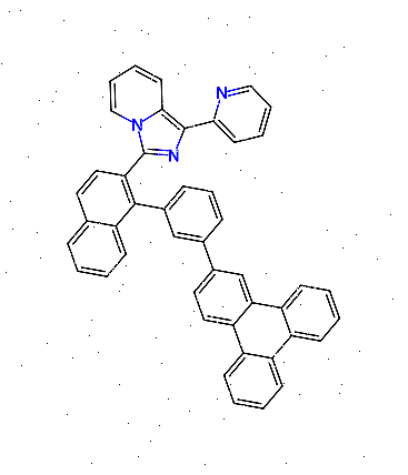 c1ccc(-c2nc(-c3ccc4ccccc4c3-c3cccc(-c4ccc5c6ccccc6c6ccccc6c5c4)c3)n3ccccc23)nc1